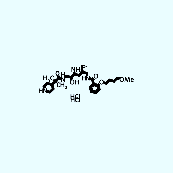 COCCCCOc1ccccc1C(=O)NCC(CC(N)C(O)CNC(=O)C(C)(C)C1CCNCC1)C(C)C.Cl.Cl